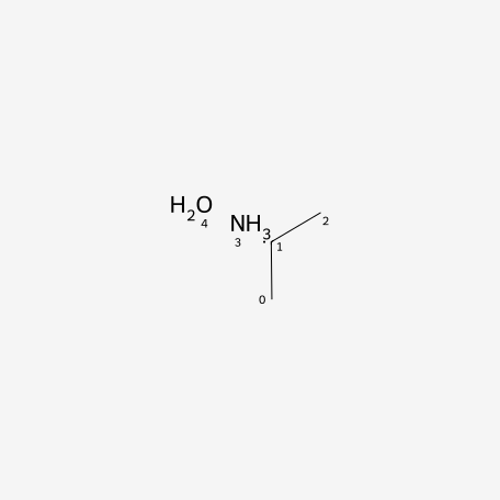 C[CH]C.N.O